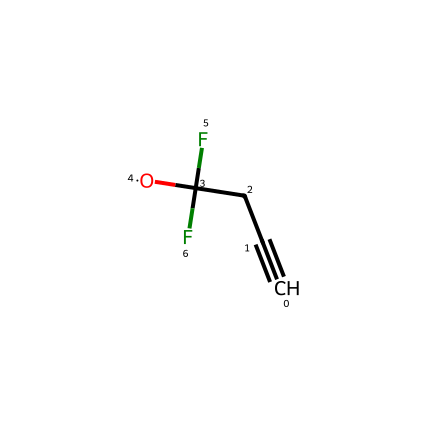 C#CCC([O])(F)F